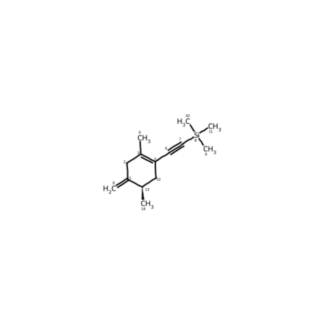 C=C1CC(C)=C(C#C[Si](C)(C)C)C[C@H]1C